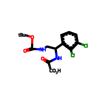 CC(C)(C)OC(=O)NCC(NC(=O)C(=O)O)c1cccc(Cl)c1Cl